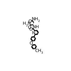 Cc1ccc(Oc2ccc(-c3cccc(C(=O)N[C@@H](CC(N)=O)C(N)=O)n3)cc2)cc1